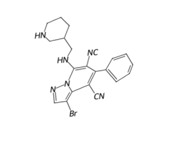 [C-]#[N+]c1c(-c2ccccc2)c(C#N)c2c(Br)cnn2c1NCC1CCCNC1